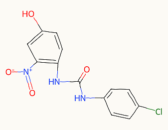 O=C(Nc1ccc(Cl)cc1)Nc1ccc(O)cc1[N+](=O)[O-]